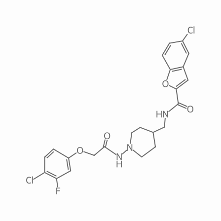 O=C(COc1ccc(Cl)c(F)c1)NN1CCC(CNC(=O)c2cc3cc(Cl)ccc3o2)CC1